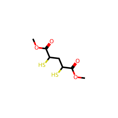 COC(=O)C(S)CC(S)C(=O)OC